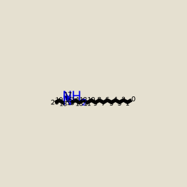 CCCCCCCCCCCCCCCCN(N)CCC